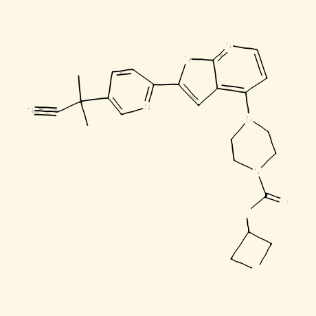 CC(C)(C#N)c1ccc(-c2cc3c(N4CCN(C(=O)OC5COC5)CC4)ccnc3[nH]2)nc1